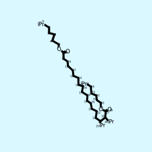 CC(C)CCCCCOC(=O)CCCCCCCCCCCCCCCC(C(C)C)C(C(=O)OCCCCCC(C)C)C(C)C